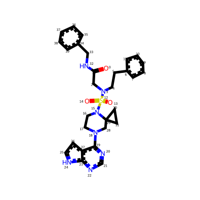 O=C(CN(CCc1ccccc1)S(=O)(=O)N1CCN(c2ncnc3[nH]ccc23)CC12CC2)NCc1ccccc1